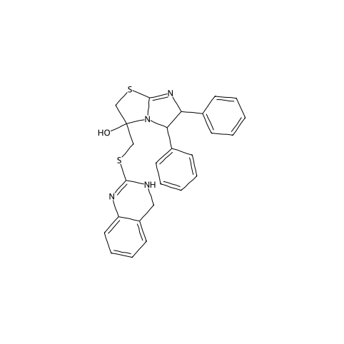 OC1(CSC2=Nc3ccccc3CN2)CSC2=NC(c3ccccc3)C(c3ccccc3)N21